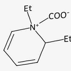 CCC1C=CC=C[N+]1(CC)C(=O)[O-]